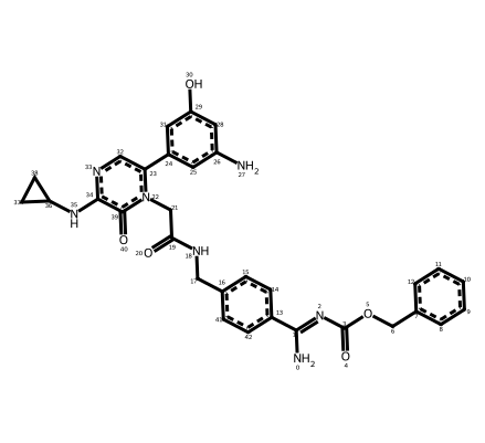 N/C(=N\C(=O)OCc1ccccc1)c1ccc(CNC(=O)Cn2c(-c3cc(N)cc(O)c3)cnc(NC3CC3)c2=O)cc1